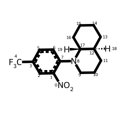 O=[N+]([O-])c1cc(C(F)(F)F)ccc1N1CCC[C@@H]2CCCC[C@H]21